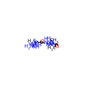 Cc1occc1CCN(C)C(=N)NC(=N)NCc1cc(CCN(C)C(=N)NC(=N)N)co1